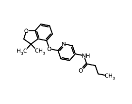 CCCC(=O)Nc1ccc(Oc2cccc3c2C(C)(C)CO3)nc1